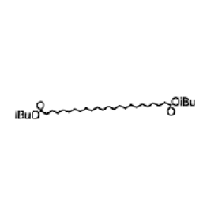 CC(C)COC(=O)CCCCCCCCCCCCCCCCCCCCCCC(=O)OCC(C)C